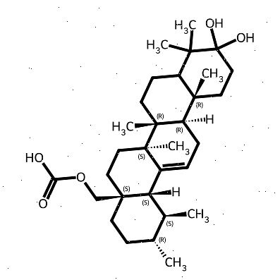 C[C@H]1[C@H](C)CC[C@]2(COC(=O)O)CC[C@]3(C)C(=CC[C@@H]4[C@@]5(C)CCC(O)(O)C(C)(C)C5CC[C@]43C)[C@H]12